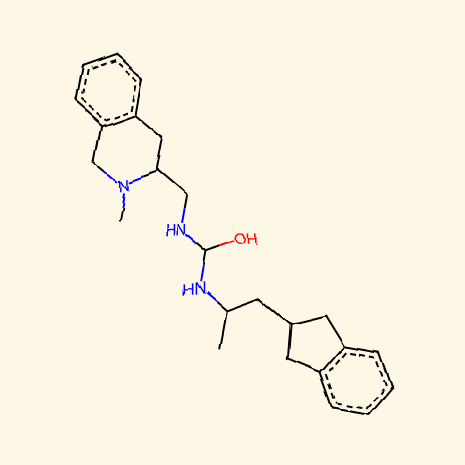 CC(CC1Cc2ccccc2C1)NC(O)NCC1Cc2ccccc2CN1C